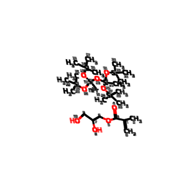 C=C(C)C(=O)OCC(O)CO.CCC[Si](O[Si](C)(C)C)(O[Si](C)(C)C)O[Si](C)(O[Si](C)(C)C)O[Si](C)(C)C